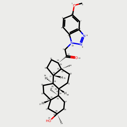 COc1ccc2c(c1)nnn2CC(=O)[C@H]1CC[C@H]2[C@@H]3CC[C@H]4C[C@](C)(O)CC[C@]4(C)[C@H]3CC[C@]12C